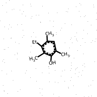 CCc1c(C)cc(C)c(O)c1C